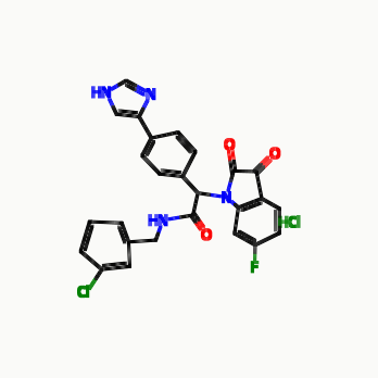 Cl.O=C1C(=O)N(C(C(=O)NCc2cccc(Cl)c2)c2ccc(-c3c[nH]cn3)cc2)c2cc(F)ccc21